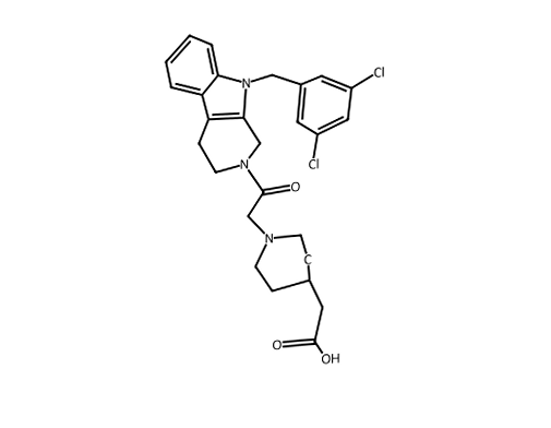 O=C(O)CC1CCN(CC(=O)N2CCc3c(n(Cc4cc(Cl)cc(Cl)c4)c4ccccc34)C2)CC1